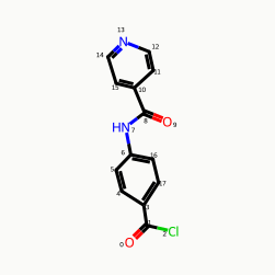 O=C(Cl)c1ccc(NC(=O)c2ccncc2)cc1